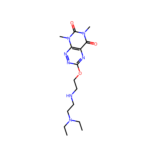 CCN(CC)CCNCCOc1nnc2c(n1)c(=O)n(C)c(=O)n2C